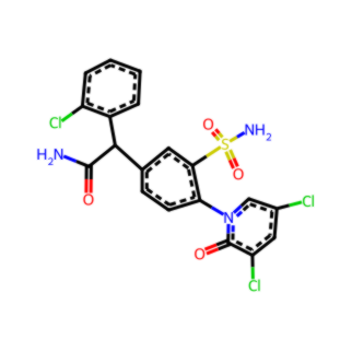 NC(=O)C(c1ccc(-n2cc(Cl)cc(Cl)c2=O)c(S(N)(=O)=O)c1)c1ccccc1Cl